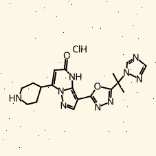 CC(C)(c1nnc(-c2cnn3c(C4CCNCC4)cc(=O)[nH]c23)o1)n1cncn1.Cl